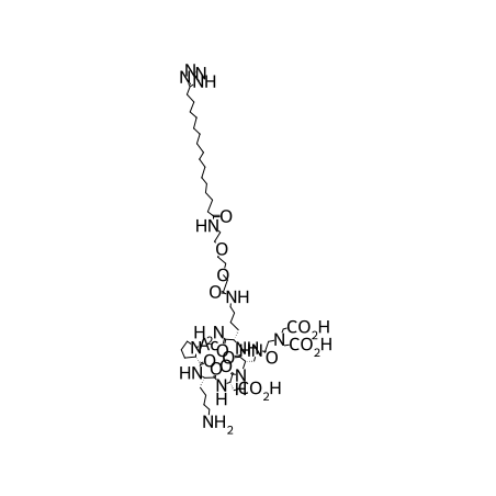 CC(=O)N1CCC[C@H]1C(=O)N[C@@H](CCCCN)C(=O)N[C@@H](CC(=O)O)C(=O)N[C@@H](CNC(=O)CN(CC(=O)O)CC(=O)O)C(=O)N[C@@H](CCCCNC(=O)COCCOCCNC(=O)CCCCCCCCCCCCCCCc1nnn[nH]1)C(N)=O